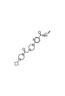 C=CCNC(=O)c1ccc(N2CCN(CC(=O)N3CCN(C4CCC4)CC3)CC2)nc1